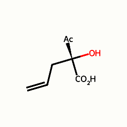 C=CC[C@@](O)(C(C)=O)C(=O)O